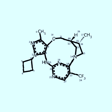 Cc1nn(C2CCC2)c2c1OC[C@H]1CN(C[C@H]1C)c1nc(ncc1C(F)(F)F)N2